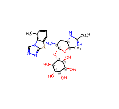 C[C@H]1O[C@H](O[C@H]2[C@H](O)[C@@H](O)[C@@H](O)[C@H](O)[C@@H]2O)[C@@H](N)C[C@@H]1NC(=N)C(=O)O.Cc1cccc2sc3nncn3c12